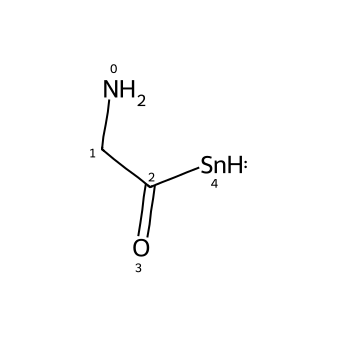 NC[C](=O)[SnH]